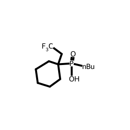 CCCCP(=O)(O)C1(CC(F)(F)F)CCCCC1